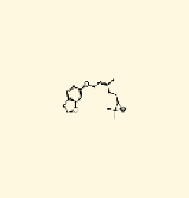 CC(=CCOc1ccc2c(c1)OCC2)CCC1OC1(C)C